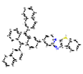 c1ccc2cc(-c3c4ccccc4c(-c4ccc5ccccc5c4)c4cc(-c5ccn6c(c5)nc5c7ccccc7sc56)ccc34)ccc2c1